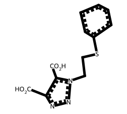 O=C(O)c1nnn(CCSc2ccccc2)c1C(=O)O